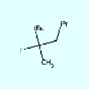 CC(C)CC(C)(F)C(C)(C)C